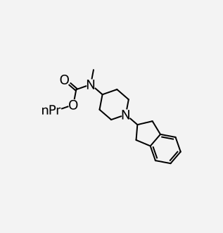 CCCOC(=O)N(C)C1CCN(C2Cc3ccccc3C2)CC1